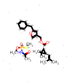 CC(C)=C[C@@H]1[C@@H](C(=O)OCc2coc(Cc3ccccc3)c2)C1(C)C.COP(=O)(NC(C)=O)SC